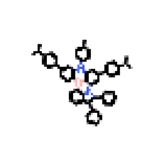 Cc1ccc(N2c3cc(-c4ccc(C(C)C)cc4)ccc3B3c4c2cc(-c2ccc(C(C)C)cc2)cc4-n2c(-c4ccccc4)c(-c4ccccc4)c4cccc3c42)cc1